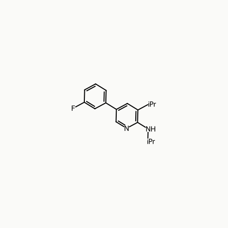 CC(C)Nc1ncc(-c2cccc(F)c2)cc1C(C)C